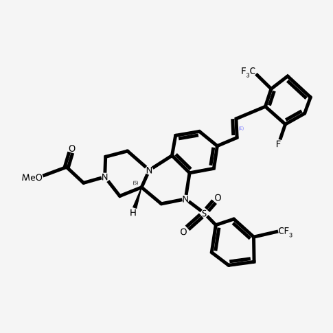 COC(=O)CN1CCN2c3ccc(/C=C/c4c(F)cccc4C(F)(F)F)cc3N(S(=O)(=O)c3cccc(C(F)(F)F)c3)C[C@@H]2C1